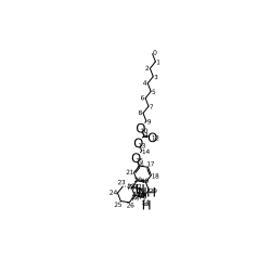 CCCCCCCCCCOC(=O)OCOc1ccc2c(c1)[C@]13CCCC[C@@H]1[C@H](C2)NCC3